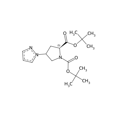 CC(C)(C)OC(=O)[C@@H]1CC(n2cccn2)CN1C(=O)OC(C)(C)C